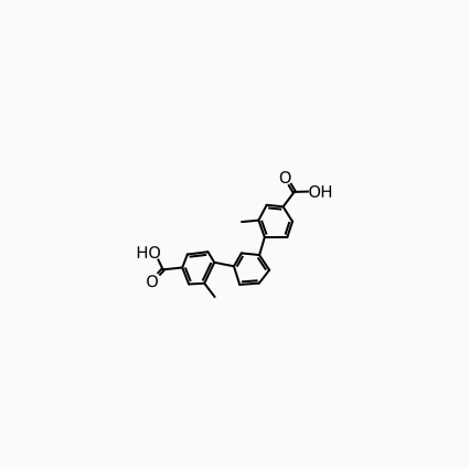 Cc1cc(C(=O)O)ccc1-c1cccc(-c2ccc(C(=O)O)cc2C)c1